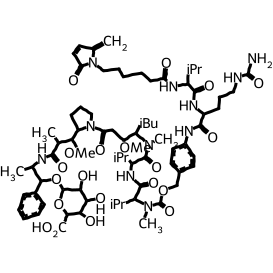 C=C1C=CC(=O)N1CCCCCC(=O)NC(C(=O)NC(CCCNC(N)=O)C(=O)Nc1ccc(COC(=O)N(C)C(C(=O)NC(C(=O)N(C)C(C(C)CC)C(CC(=O)N2CCCC2C(OC)C(C)C(=O)NC(C)C(OC2OC(C(=O)O)C(O)C(O)C2O)c2ccccc2)OC)C(C)C)C(C)C)cc1)C(C)C